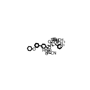 CC(C)(C)OC(=O)N(CC[C@@]1(C(=O)NS(=O)(=O)CC#N)C=CC(c2cccc(OC3CCCCC3)c2)=CC1)C[C@H](O[Si](C)(C)C(C)(C)C)c1cccnc1